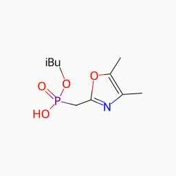 CCC(C)OP(=O)(O)Cc1nc(C)c(C)o1